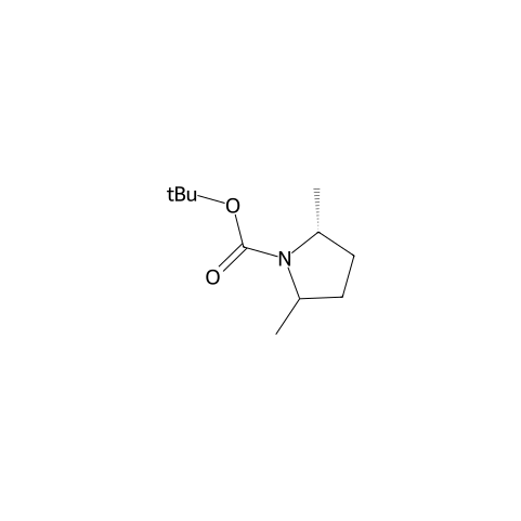 CC1CC[C@@H](C)N1C(=O)OC(C)(C)C